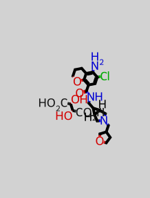 Nc1c(Cl)cc(C(=O)NCC2[C@H]3CN(CC4CCOC4)C[C@@H]23)c2c1CCCO2.O=C(O)C(O)C(O)C(=O)O